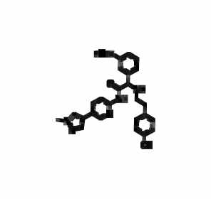 CCCCCCc1cccc(C(NCCc2ccc(C#N)cc2)C(=O)Nc2ccc(-c3cnn(C)c3)cn2)c1